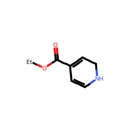 CCOC(=O)C1=CCNC=C1